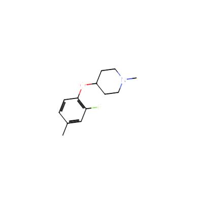 Cc1ccc(OC2CCN(C)CC2)c(F)c1